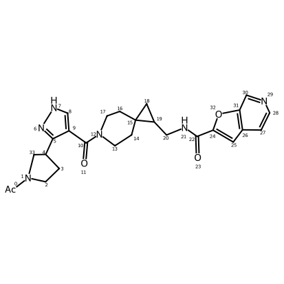 CC(=O)N1CCC(c2n[nH]cc2C(=O)N2CCC3(CC2)CC3CNC(=O)c2cc3ccncc3o2)C1